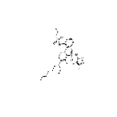 C=CC(CCCCCC)c1ccc(-c2ccccc2NS(=O)(=O)CCC)c(S(=O)(=O)Nc2noc(C)c2C)c1C